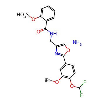 CC(C)Oc1cc(-c2nc(CNC(=O)c3ccccc3OS(=O)(=O)O)co2)ccc1OC(F)F.N